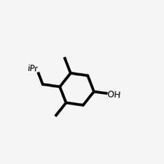 CC(C)CC1C(C)CC(O)CC1C